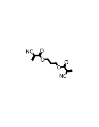 C=C(C#N)C(=O)OCCCOC(=O)C(=C)C#N